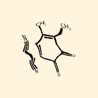 CC1=C(C)C(=O)C(=O)C=C1.N#CC#N